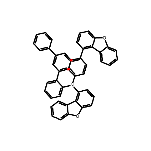 c1ccc(-c2cccc(-c3ccccc3N(c3ccc(-c4cccc5oc6ccccc6c45)cc3)c3cccc4oc5ccccc5c34)c2)cc1